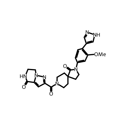 COc1cc(N2CCC3(CCN(C(=O)c4cc5n(n4)CCNC5=O)CC3)C2=O)ccc1-c1cn[nH]c1